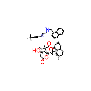 CCC(C)(C)C(=O)O[C@H]1C[C@@H](C)C=C2C=C[C@H](C)[C@H](CC[C@@H]3C[C@@H](O)CC(=O)O3)[C@H]21.CN(C/C=C/C#CC(C)(C)C)Cc1cccc2ccccc12